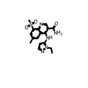 CCn1nccc1Nc1c(C(N)=O)cnc2c(S(C)(=O)=O)cc(C)cc12